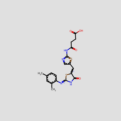 Cc1ccc(/N=C2/NC(=O)/C(=C/c3cnc(NC(=O)CCC(=O)O)s3)S2)c(C)c1